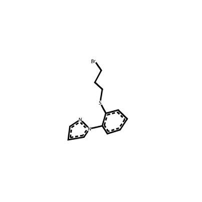 BrCCCSc1ccccc1-n1cccn1